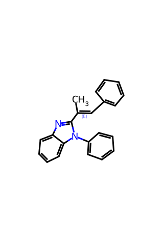 C/C(=C\c1ccccc1)c1nc2ccccc2n1-c1ccccc1